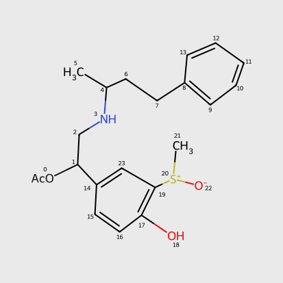 CC(=O)OC(CNC(C)CCc1ccccc1)c1ccc(O)c([S+](C)[O-])c1